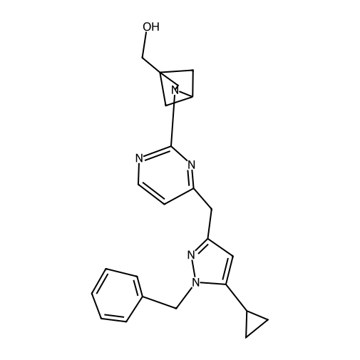 OCC12CC(C1)N(c1nccc(Cc3cc(C4CC4)n(Cc4ccccc4)n3)n1)C2